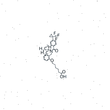 [2H]C(C)(C)N(Cc1ccccc1OCCCCCC(=O)O)C(=O)c1ccc(C2(C(F)(F)F)CC2)cc1